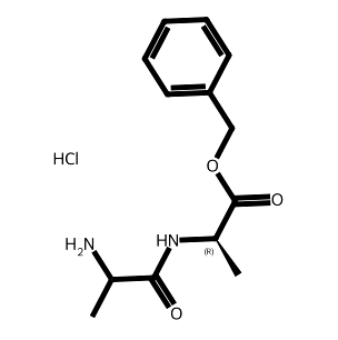 CC(N)C(=O)N[C@H](C)C(=O)OCc1ccccc1.Cl